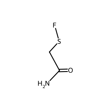 NC(=O)CSF